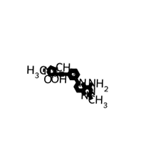 Cc1nc(N)c2nc(-c3cccc(C#C[C@]4(O)C(=O)N(C)C[C@H]4C)c3)ccc2n1